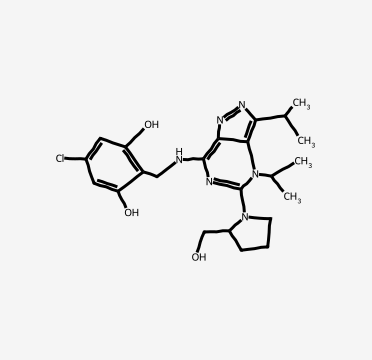 CC(C)c1nnc2c(NCc3c(O)cc(Cl)cc3O)nc(N3CCCC3CO)n(C(C)C)c1-2